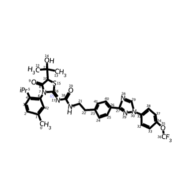 Cc1ccc(C(C)C)c(N2C(=O)C(C(C)(C)O)S/C2=N\C(=O)NCCc2ccc(-c3ncn(-c4ccc(OC(F)(F)F)cc4)n3)cc2)c1